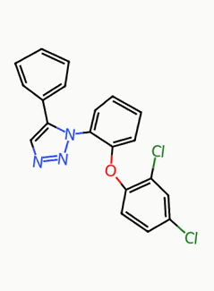 Clc1ccc(Oc2ccccc2-n2nncc2-c2ccccc2)c(Cl)c1